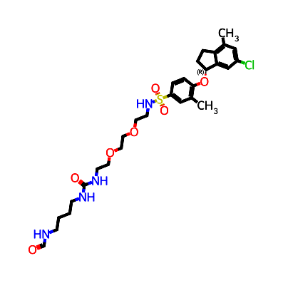 Cc1cc(S(=O)(=O)NCCOCCOCCNC(=O)NCCCCNC=O)ccc1O[C@@H]1CCc2c(C)cc(Cl)cc21